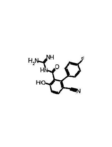 N#Cc1ccc(O)c(C(=O)NC(=N)N)c1-c1ccc(F)cc1